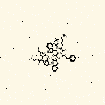 CSCCC(C(N)=O)N(C(=O)CCC(C)C)N1CC[C@@H](NC(=O)[C@@H](Cc2ccccc2)NC(=O)[C@@H](Cc2c[nH]c3ccccc23)N(C(=O)OCc2ccccc2)C(=O)[C@H](CCCCN)NC(=O)OC(C)(C)C)C1=O